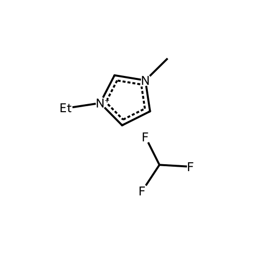 CC[n+]1ccn(C)c1.FC(F)F